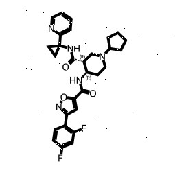 O=C(N[C@@H]1CCN(C2CCCC2)C[C@H]1C(=O)NC1(c2ccccn2)CC1)c1cc(-c2ccc(F)cc2F)no1